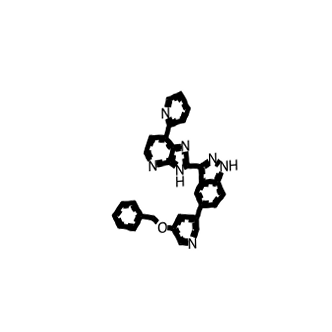 c1ccc(COc2cncc(-c3ccc4[nH]nc(-c5nc6c(-c7ccccn7)ccnc6[nH]5)c4c3)c2)cc1